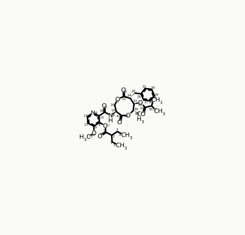 CCC(CC)C(=O)Oc1c(OC)ccnc1C(=O)N[C@H]1COC(=O)[C@H](Cc2ccccc2)[C@@H](OC(=O)C(C)C)[C@H](C)OC1=O